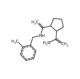 C=C(N)C1CCCC1C(=C)NCc1ccccc1C